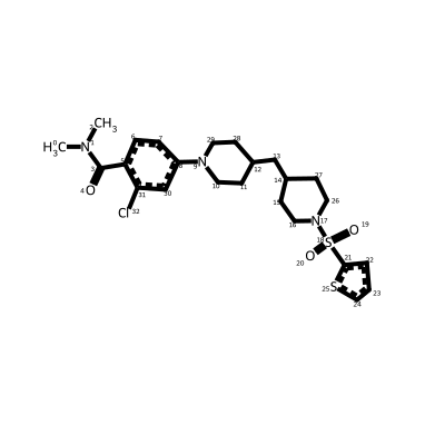 CN(C)C(=O)c1ccc(N2CCC(CC3CCN(S(=O)(=O)c4cccs4)CC3)CC2)cc1Cl